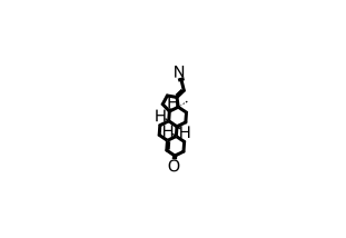 C[C@]12CC[C@H]3[C@@H](CCC4=CC(=O)CC[C@@H]43)[C@@H]1CC/C2=C\C#N